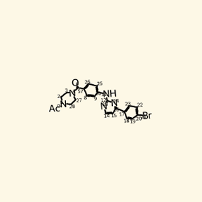 CC(=O)N1CCN(C(=O)c2ccc(Nc3nccc(-c4ccc(Br)cc4)n3)cc2)CC1